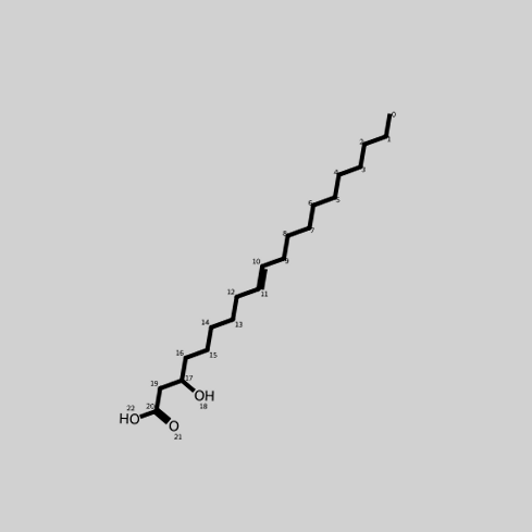 CCCCCCCCCCC=CCCCCCC(O)CC(=O)O